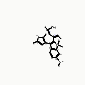 C/C=C(/C=C(/C)S)C1=C(c2cc(C)sc2C)c2ccc(OC)cc2[Si]1(C)C